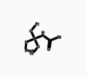 CCCC(C)O[Si](NC(=O)CC)(OCC)OCC